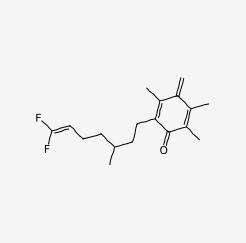 C=C1C(C)=C(C)C(=O)C(CCC(C)CCC=C(F)F)=C1C